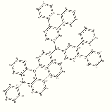 c1ccc(-c2ccc(N(c3ccc(-c4ccccc4)c(-c4ccccc4)c3)c3ccc4c5c(cccc35)-c3cccc(N(c5ccccc5)c5ccccc5)c3O4)cc2-c2ccccc2)cc1